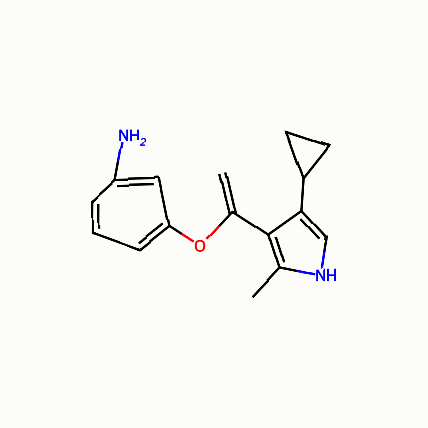 C=C(Oc1cccc(N)c1)c1c(C2CC2)c[nH]c1C